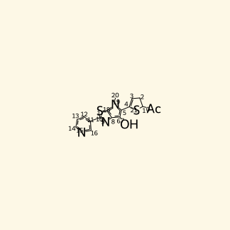 CC(=O)C1CC=C(c2c(O)c3nc(-c4cccnc4)sc3n2C)S1